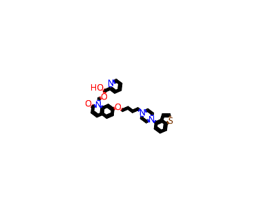 O=c1ccc2ccc(OCCCCN3CCN(c4cccc5sccc45)CC3)cc2n1COC(O)c1ccccn1